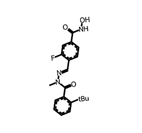 CN(/N=C/c1ccc(C(=O)NO)cc1F)C(=O)c1ccccc1C(C)(C)C